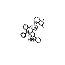 Cc1cc(C)c2c(c1)N(C(=O)CN1C(=O)C(Cc3n[nH]c4c3CCCC4)C(=O)N(c3ccccc3)c3ccccc31)CCCC2